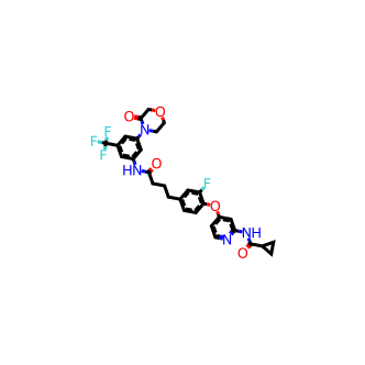 O=C(CCCc1ccc(Oc2ccnc(NC(=O)C3CC3)c2)c(F)c1)Nc1cc(N2CCOCC2=O)cc(C(F)(F)F)c1